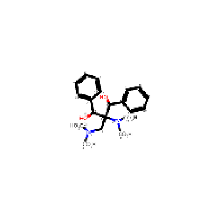 O=C(O)N(CC(C(O)c1ccccc1)(C(O)c1ccccc1)N(C(=O)O)C(=O)O)C(=O)O